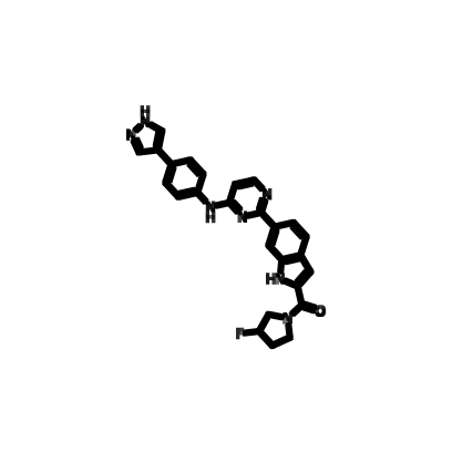 O=C(c1cc2ccc(-c3nccc(Nc4ccc(-c5cn[nH]c5)cc4)n3)cc2[nH]1)N1CCC(F)C1